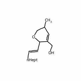 CCCCCCC/C=C/C1OCC(C)C=C1CO